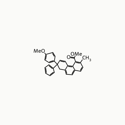 COC(=O)c1c(C)ccc2ccc3c(c12)C=CC(c1ccccc1)(c1ccc(OC)cc1)C3